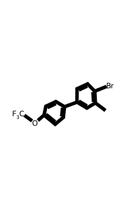 Cc1cc(-c2ccc(OC(F)(F)F)cc2)ccc1Br